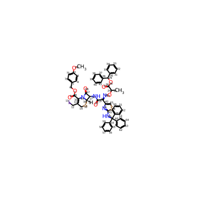 COc1ccc(COC(=O)C2=C(CI)CS[C@H]3C(NC(=O)C(=NOC(C)C(=O)OC(c4ccccc4)c4ccccc4)c4csc(NC(c5ccccc5)(c5ccccc5)c5ccccc5)n4)C(=O)N23)cc1